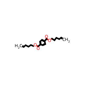 C=CCCCCOC(=O)c1ccc(C(=O)OCCCCC=C)cc1